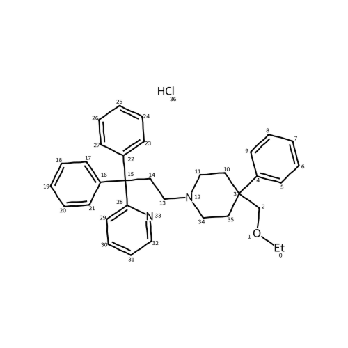 CCOCC1(c2ccccc2)CCN(CCC(c2ccccc2)(c2ccccc2)c2ccccn2)CC1.Cl